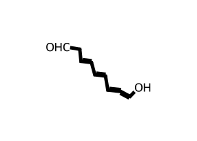 O=CCC=CC=CC=C=CO